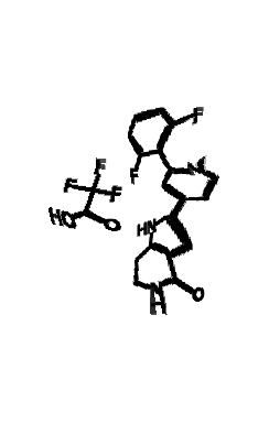 O=C(O)C(F)(F)F.O=C1NCCc2[nH]c(-c3ccnc(-c4c(F)cccc4F)c3)cc21